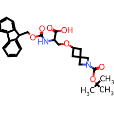 CC(C)(C)OC(=O)N1CC2(CC(OCC(NC(=O)OCC3c4ccccc4-c4ccccc43)C(=O)O)C2)C1